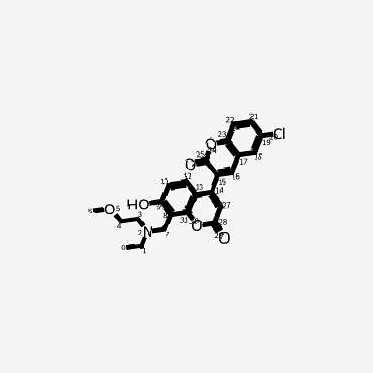 CCN(CCOC)Cc1c(O)ccc2c(-c3cc4cc(Cl)ccc4oc3=O)cc(=O)oc12